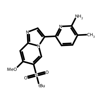 COc1cc2ncc(-c3ccc(C)c(N)n3)n2cc1S(=O)(=O)C(C)(C)C